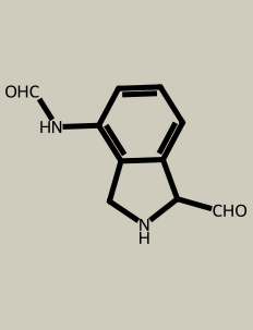 O=CNc1cccc2c1CNC2C=O